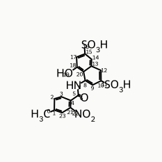 Cc1ccc(C(=O)Nc2cc(S(=O)(=O)O)cc3cc(S(=O)(=O)O)cc(O)c23)c([N+](=O)[O-])c1